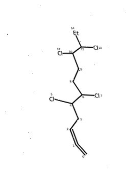 C=C=CCC(Cl)C(Cl)CCC(Cl)C(Cl)CC